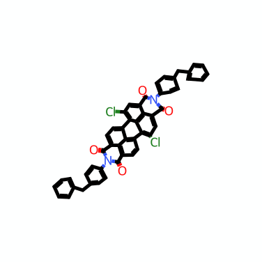 O=C1c2ccc3c4c(Cl)cc5c6c(cc(Cl)c(c7ccc(c2c37)C(=O)N1c1ccc(Cc2ccccc2)cc1)c64)C(=O)N(c1ccc(Cc2ccccc2)cc1)C5=O